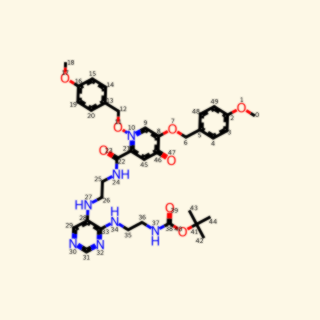 COc1ccc(COc2cn(OCc3ccc(OC)cc3)c(C(=O)NCCNc3cncnc3NCCNC(=O)OC(C)(C)C)cc2=O)cc1